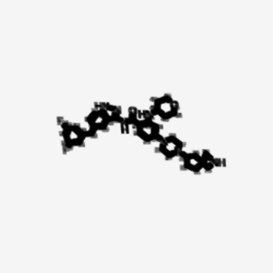 O=C(Nc1n[nH]c2ccc(Cc3cc(F)cc(F)c3)cc12)c1ccc(N2CCN(C3CCC4(CNC4)C3)CC2)cc1NC1CCOCC1